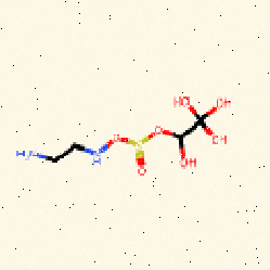 NCCNOS(=O)OC(O)C(O)(O)O